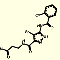 NC(=O)CCNC(=O)c1n[nH]c(NC(=O)c2ccccc2Cl)c1Br